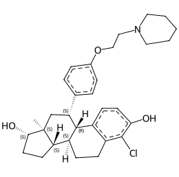 C[C@]12C[C@H](c3ccc(OCCN4CCCCC4)cc3)[C@@H]3c4ccc(O)c(Cl)c4CC[C@H]3[C@@H]1CC[C@@H]2O